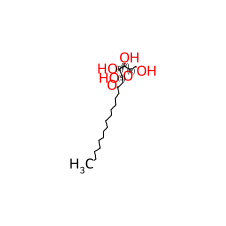 CCCCCCCCCCCCCCC(=O)C[C@]1(O)O[C@H](CO)[C@H](O)[C@H]1O